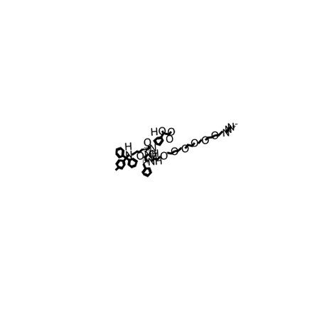 COC(=O)C(O)c1ccc(NC(=O)[C@H](CCCCNC(c2ccccc2)(c2ccccc2)c2ccc(C)cc2)NC(=O)[C@H](Cc2ccccc2)NC(=O)CCOCCOCCOCCOCCOCCOCCN=[N+]=[N-])cc1